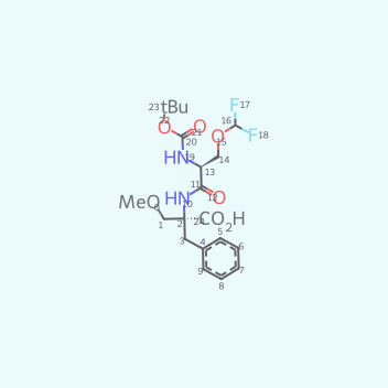 COC[C@](Cc1ccccc1)(NC(=O)[C@H](COC(F)F)NC(=O)OC(C)(C)C)C(=O)O